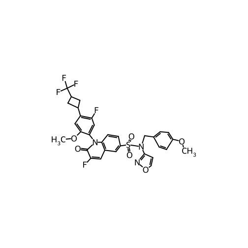 COc1ccc(CN(c2ccon2)S(=O)(=O)c2ccc3c(c2)cc(F)c(=O)n3-c2cc(F)c(C3CC(C(F)(F)F)C3)cc2OC)cc1